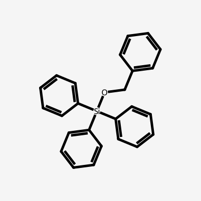 c1ccc(CO[Si](c2ccccc2)(c2ccccc2)c2ccccc2)cc1